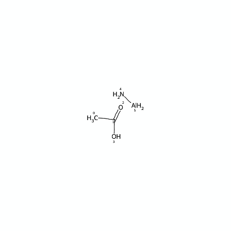 CC(=O)O.[NH2][AlH2]